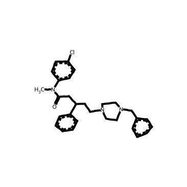 CN(C(=O)CC(CCN1CCN(Cc2ccccc2)CC1)c1ccccc1)c1ccc(Cl)cc1